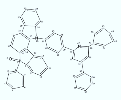 O=P1(c2ccccc2)c2ccccc2-c2c1ccc1c3ccccc3n(-c3ccc(-c4cc(-c5ccccc5)cc(-c5ccccc5)n4)cc3)c21